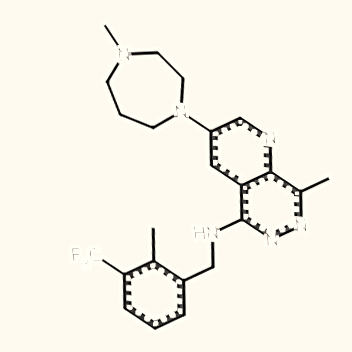 Cc1c(CNc2nnc(C)c3ncc(N4CCCN(C)CC4)cc23)cccc1C(F)(F)F